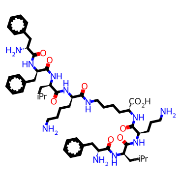 CC(C)C[C@@H](NC(=O)[C@H](N)Cc1ccccc1)C(=O)N[C@H](CCCN)C(=O)N[C@H](CCCCNC(=O)[C@@H](CCCCN)NC(=O)[C@@H](CC(C)C)NC(=O)[C@@H](Cc1ccccc1)NC(=O)[C@H](N)Cc1ccccc1)C(=O)O